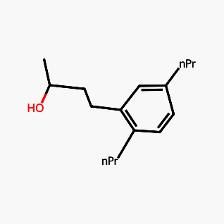 CCCc1ccc(CCC)c(CCC(C)O)c1